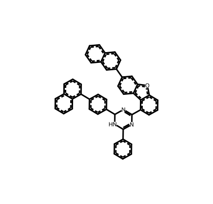 c1ccc(C2=NC(c3cccc4oc5cc(-c6ccc7ccccc7c6)ccc5c34)=NC(c3ccc(-c4cccc5ccccc45)cc3)N2)cc1